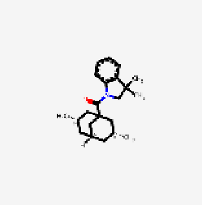 C[C@@H]1C[C@@H]2C[C@H](C)CC(C(=O)N3CC(C)(C)c4ccccc43)(C1)C2